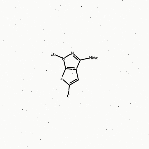 CCn1nc(NC)c2cc(Cl)sc21